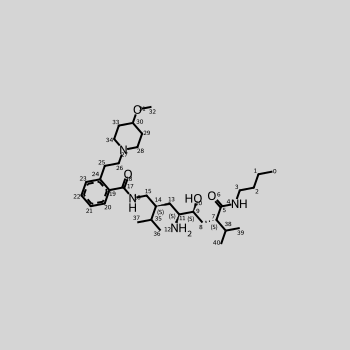 CCCCNC(=O)[C@@H](C[C@H](O)[C@@H](N)C[C@H](CNC(=O)c1ccccc1CCN1CCC(OC)CC1)C(C)C)C(C)C